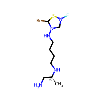 C[C@H](CN)NCCCCNN1CN(F)SC1Br